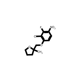 CC1(COc2ccc([N+](=O)[O-])c(F)c2Cl)CCCO1